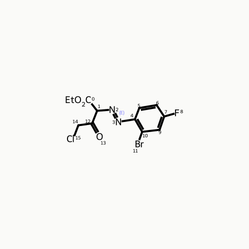 CCOC(=O)C(/N=N/c1ccc(F)cc1Br)C(=O)CCl